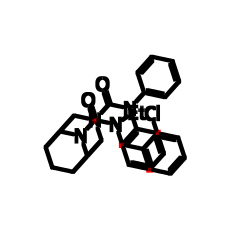 CCN(Cc1ccccc1Cl)C(=O)N1C2CCCC1CN(C(=O)N(c1ccccc1)c1ccccc1)C2